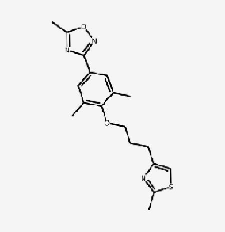 Cc1nc(-c2cc(C)c(OCCCc3csc(C)n3)c(C)c2)no1